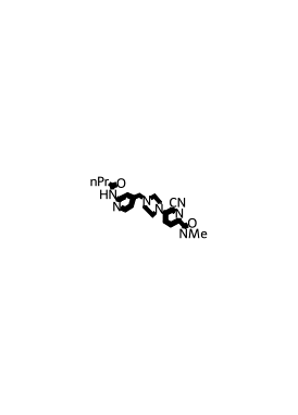 CCCC(=O)Nc1cc(CN2CCN(c3ccc(C(=O)NC)nc3C#N)CC2)ccn1